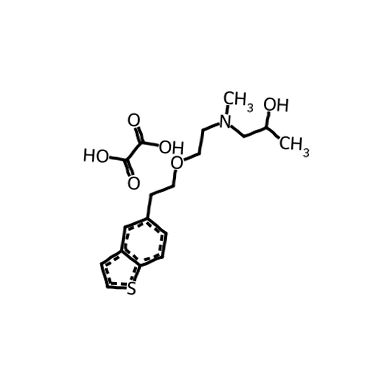 CC(O)CN(C)CCOCCc1ccc2sccc2c1.O=C(O)C(=O)O